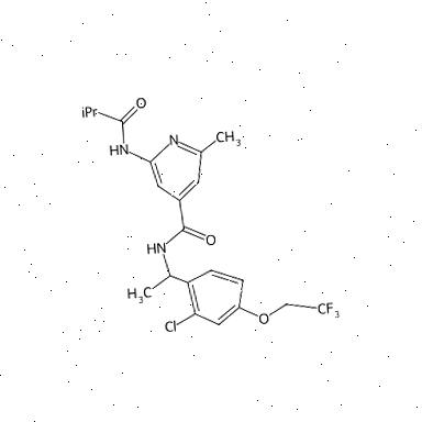 Cc1cc(C(=O)NC(C)c2ccc(OCC(F)(F)F)cc2Cl)cc(NC(=O)C(C)C)n1